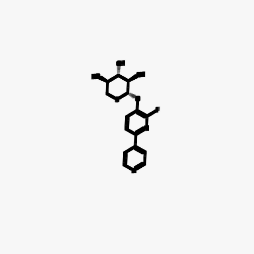 O[C@@H]1[C@@H](O)[C@H](Oc2ccc(-c3ccncc3)nc2F)SC[C@H]1O